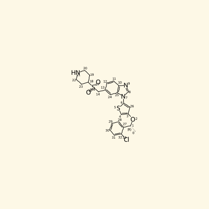 C[C@@H](Oc1csc(-n2cnc3ccc(CS(=O)(=O)C4CCNCC4)cc32)c1)c1ccccc1Cl